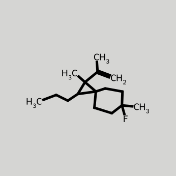 C=C(C)C1(C)C(CCC)C12CCC(C)(F)CC2